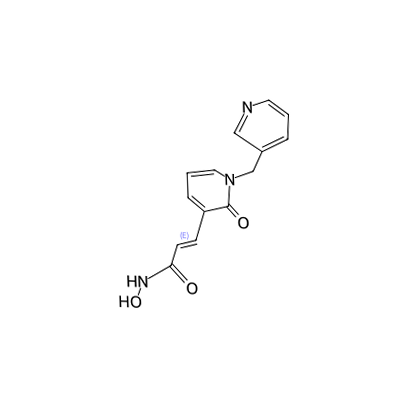 O=C(/C=C/c1cccn(Cc2cccnc2)c1=O)NO